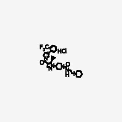 Cl.O=C(NCCN1CCCCC1)N1CCC(n2ncc(C(=O)N3CC[C@@H](c4ccccc4C(F)(F)F)C3)c2C2CC2)CC1